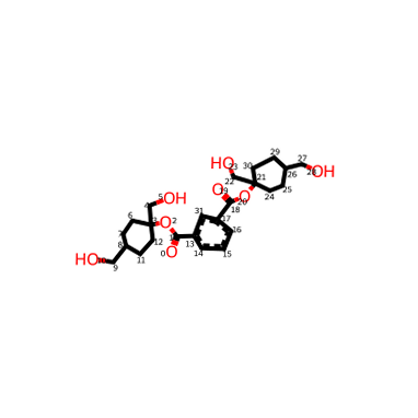 O=C(OC1(CO)CCC(CO)CC1)c1cccc(C(=O)OC2(CO)CCC(CO)CC2)c1